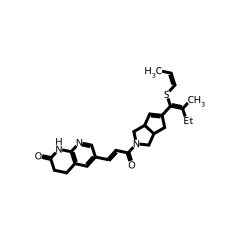 C/C=C\S/C(C1=CC2CN(C(=O)/C=C/c3cnc4c(c3)CCC(=O)N4)CC2C1)=C(\C)CC